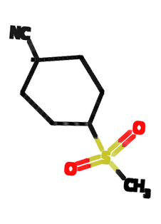 CS(=O)(=O)C1CC[C](C#N)CC1